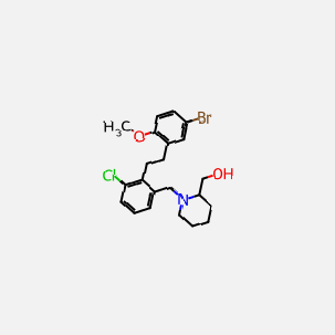 COc1ccc(Br)cc1CCc1c(Cl)cccc1CN1CCCCC1CO